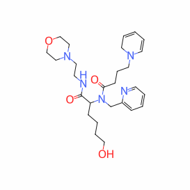 O=C(NCCN1CCOCC1)C(CCCCO)N(Cc1ccccn1)C(=O)CCCN1C=CC=CC1